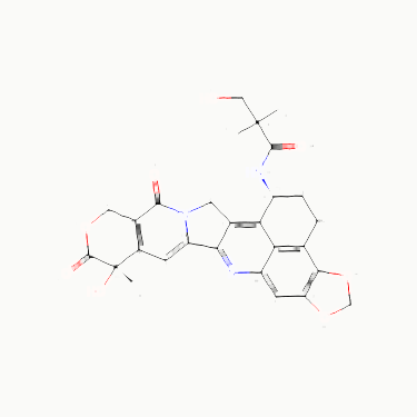 CC[C@@]1(O)C(=O)OCc2c1cc1n(c2=O)Cc2c-1nc1cc3c(c4c1c2[C@@H](NC(=O)C(C)(C)CO)CC4)OCO3